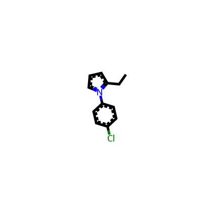 CCc1cccn1-c1ccc(Cl)cc1